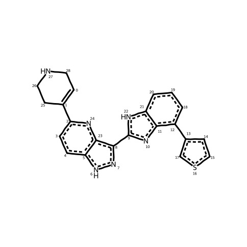 C1=C(c2ccc3[nH]nc(-c4nc5c(-c6ccsc6)cccc5[nH]4)c3n2)CCNC1